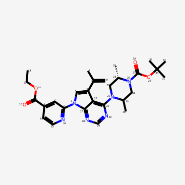 C=C(C)c1cn(-c2cc(C(=O)OCC)ccn2)c2ncnc(N3C[C@H](C)N(C(=O)OC(C)(C)C)CC3C)c12